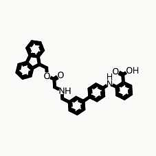 O=C(CNCc1cccc(-c2ccc(Nc3ccccc3C(=O)O)cc2)c1)OCC1c2ccccc2-c2ccccc21